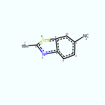 [C-]#[N+]c1ccc2nc(C(C)(C)C)sc2c1